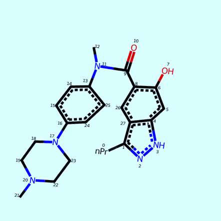 CCCc1n[nH]c2cc(O)c(C(=O)N(C)c3ccc(N4CCN(C)CC4)cc3)cc12